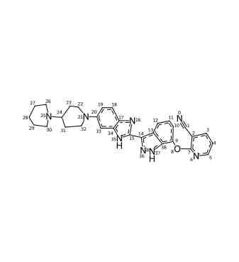 N#Cc1cccnc1Oc1cccc2c(-c3nc4ccc(N5CCC(N6CCCCC6)CC5)cc4[nH]3)n[nH]c12